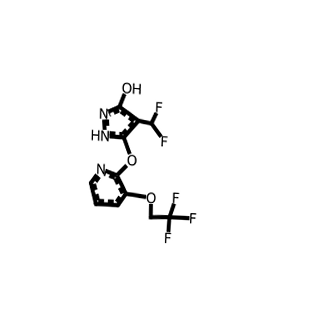 Oc1n[nH]c(Oc2ncccc2OCC(F)(F)F)c1C(F)F